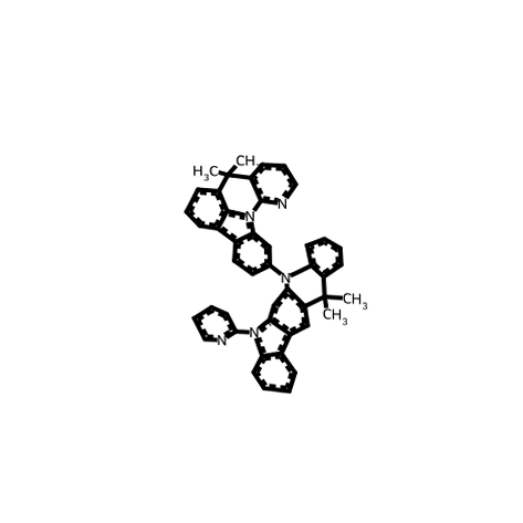 CC1(C)c2ccccc2N(c2ccc3c4cccc5c4n(c3c2)-c2ncccc2C5(C)C)c2cc3c(cc21)c1ccccc1n3-c1ccccn1